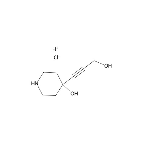 OCC#CC1(O)CCNCC1.[Cl-].[H+]